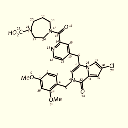 COc1ccc(Cn2cc(Cc3ccnc(C(=O)N4CCCN(C(=O)O)CC4)c3)n3cc(Cl)cc3c2=O)c(OC)c1